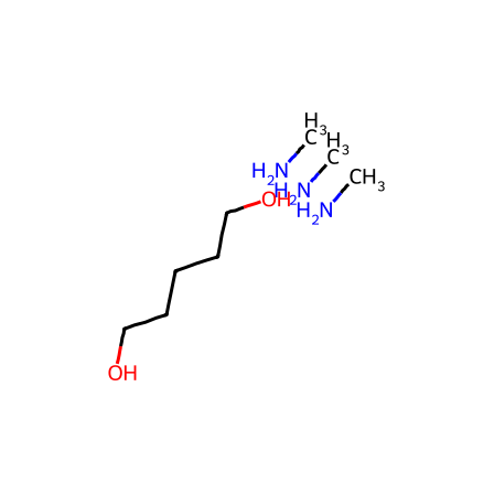 CN.CN.CN.OCCCCCO